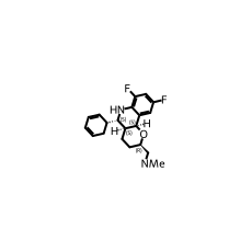 CNC[C@H]1CC[C@@H]2[C@H](O1)c1cc(F)cc(F)c1N[C@H]2C1C=CC=CC1